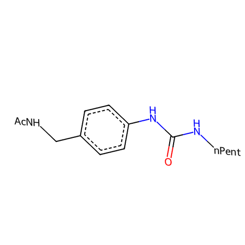 CCCCCNC(=O)Nc1ccc(CNC(C)=O)cc1